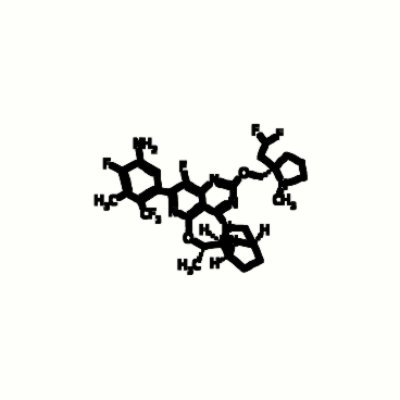 Cc1c(F)c(N)cc(-c2nc3c4c(nc(OC[C@]5(CC(F)F)CCCN5C)nc4c2F)N2C[C@H]4CC[C@H](N4)[C@H]2[C@H](C)O3)c1C(F)(F)F